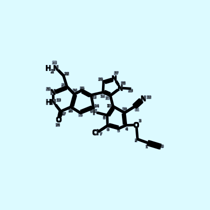 C#CCOc1cc(Cl)c(F)c(-c2c(-c3ccc4c(=O)[nH]nc(CN)c4c3)cnn2C)c1C#N